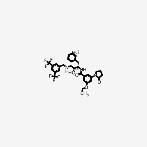 CCOc1cc(C(=O)N[C@@H](Cc2ccccc2)[C@@H](O)CNCc2cc(C(F)(F)F)cc(C(F)(F)F)c2)cc(N2CCCC2=O)c1.Cl